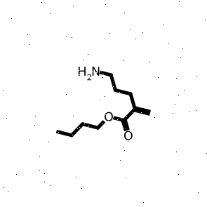 C=C(CCCN)C(=O)OCCCC